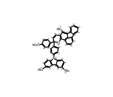 COc1ccc(C2(c3ccc(-n4c5ccc(C(C)(C)C)cc5c5cc(C(C)(C)C)ccc54)cc3)C=Cc3c(C(C)(C)C)c4c5c(cccc5c3O2)-c2ccccc2-4)cc1